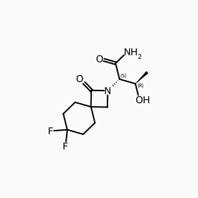 C[C@@H](O)[C@@H](C(N)=O)N1CC2(CCC(F)(F)CC2)C1=O